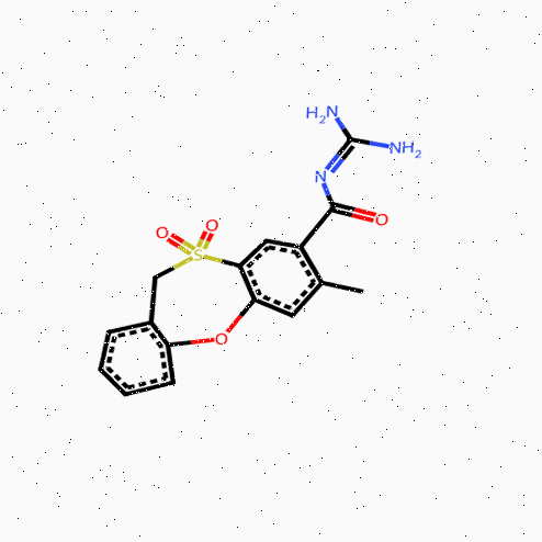 Cc1cc2c(cc1C(=O)N=C(N)N)S(=O)(=O)Cc1ccccc1O2